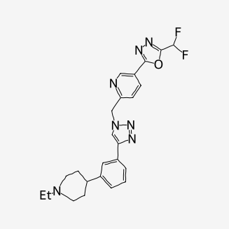 CCN1CCC(c2cccc(-c3cn(Cc4ccc(-c5nnc(C(F)F)o5)cn4)nn3)c2)CC1